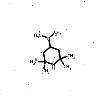 CN(C)C1CC(C)(C)NC(C)(C)C1